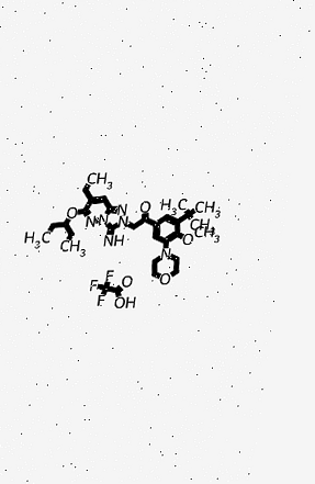 CCc1cc2nn(CC(=O)c3cc(N4CCOCC4)c(OC)c(C(C)(C)C)c3)c(=N)n2nc1OC(CC)CC.O=C(O)C(F)(F)F